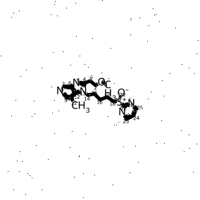 COCCc1nc2cncc(C)c2n1CCCCC[S+]([O-])c1ncccn1